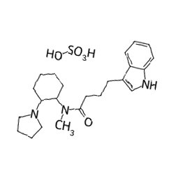 CN(C(=O)CCCc1c[nH]c2ccccc12)C1CCCCC1N1CCCC1.O=S(=O)(O)O